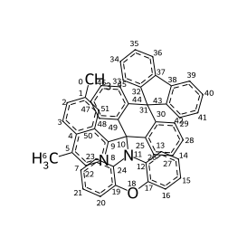 Cc1ccc2c(C)cnc(C3(N4c5ccccc5Oc5ccccc54)c4ccccc4C4(c5ccccc5-c5ccccc54)c4ccccc43)c2c1